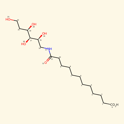 O=C(O)CCCCCCCCCCC(=O)NC[C@H](O)[C@@H](O)[C@H](O)CCO